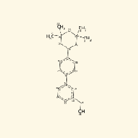 CC1(C)CC(c2ccc(-c3cccc(CO)c3)cc2)CC(C)(C)C1